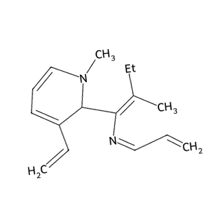 C=C/C=N\C(=C(/C)CC)C1C(C=C)=CC=CN1C